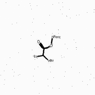 CCCCCOC(=O)C(CC)CCCC